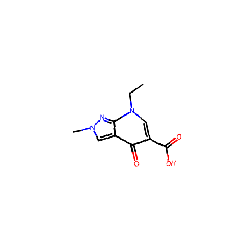 CCn1cc(C(=O)O)c(=O)c2cn(C)nc21